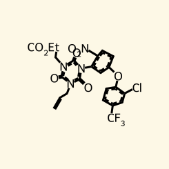 C=CCn1c(=O)n(CC(=O)OCC)c(=O)n(-c2cc(Oc3ccc(C(F)(F)F)cc3Cl)ccc2[N+](=O)[O-])c1=O